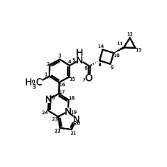 Cc1ccc(NC(=O)[C@H]2C[C@H](C3CC3)C2)cc1-c1cn2nccc2cn1